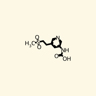 CS(=O)(=O)CCc1cncc(NC(=O)O)c1